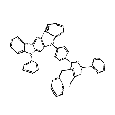 CC1=[N+](Cc2ccccc2)C(c2ccc(-n3c4ccccc4c4cc5c6ccccc6n(-c6ccccc6)c5cc43)cc2)N=C(c2ccccc2)C1